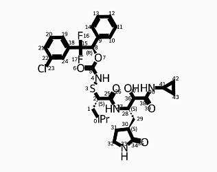 CC(C)C[C@H](SNC(=O)O[C@H](c1ccccc1)C(F)(F)c1cccc(Cl)c1)C(=O)N[C@@H](C[C@@H]1CCNC1=O)C(O)C(=O)NC1CC1